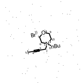 CCCC[N+]1(CC#CI)CCOCC1.[Br-]